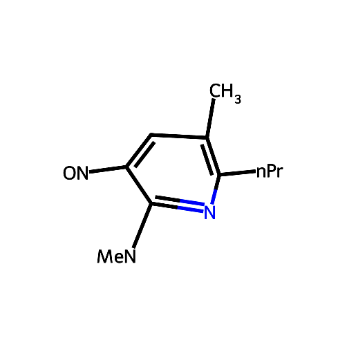 CCCc1nc(NC)c(N=O)cc1C